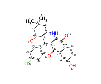 CC1(C)CC(=O)C2=C(C1)NC1=C(C(=O)c3cc(O)ccc3C1=O)C2c1ccc(Cl)cc1